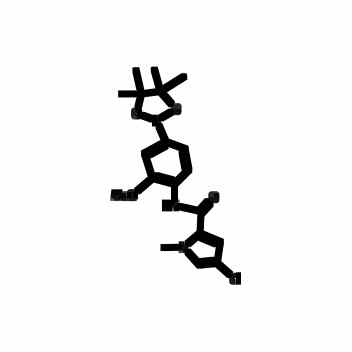 COc1cc(B2OC(C)(C)C(C)(C)O2)ccc1NC(=O)c1cc(Cl)cn1C